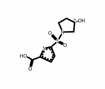 O=C(O)c1ccc(S(=O)(=O)N2CC[C@H](O)C2)s1